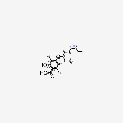 C=CCC(CC/C=C\CC)Oc1cc(C)c(C(=O)O)c(O)c1C